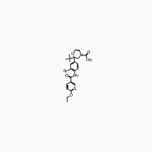 CCOc1ccc(C(=O)Nc2ccc(C3(C(C)(C)C)CN(C(=O)O)CCO3)cc2Br)cn1